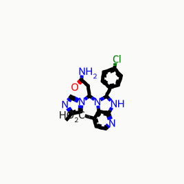 Cc1cn(C(CC(N)=O)N2c3c(C(=O)O)ccnc3NC2c2ccc(Cl)cc2)cn1